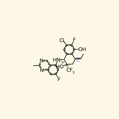 C/C=C1/C[C@](O)(C(F)(F)F)[C@@H](Nc2cc(F)cc3nc(C)ncc23)c2cc(Cl)c(F)c(O)c21